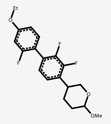 CCOc1ccc(-c2ccc(C3CCC(OC)OC3)c(F)c2F)c(F)c1